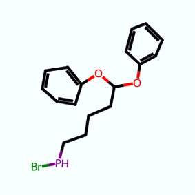 BrPCCCCC(Oc1ccccc1)Oc1ccccc1